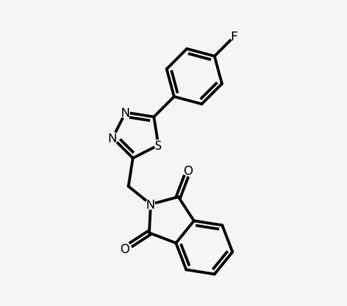 O=C1c2ccccc2C(=O)N1Cc1nnc(-c2ccc(F)cc2)s1